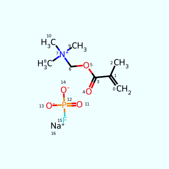 C=C(C)C(=O)OC[N+](C)(C)C.O=P([O-])([O-])F.[Na+]